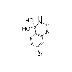 OS1(O)N[C]=Nc2cc(Br)ccc21